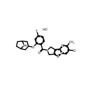 Cc1nc2c3c(nn2cc1Cl)CN(C(=O)c1ccc(F)cc1OC1CC2CCC(C1)N2)C3.Cl